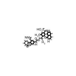 CNCc1cc(NC(=O)OC[C@H](C)c2ccc(C(Nc3ccc4cc[nH]c(=O)c4c3)C(=O)O)cc2C)ccc1N1CCCCS1(=O)=O